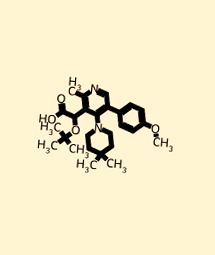 COc1ccc(-c2cnc(C)c(C(OC(C)(C)C)C(=O)O)c2N2CCC(C)(C)CC2)cc1